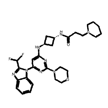 O=C(CCN1CCCCC1)N[C@H]1C[C@H](Nc2cc(-n3c(C(F)F)nc4ccccc43)nc(N3CCOCC3)n2)C1